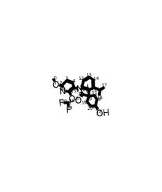 COc1ccc(NC(=O)C2(c3ccccc3C(C)C)CCC(O)CC2)c(OC(F)F)n1